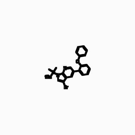 CC(C)(C)[Si](C)(C)n1cc(Br)c2cc(-c3ccccc3Oc3ccccc3)cnc21